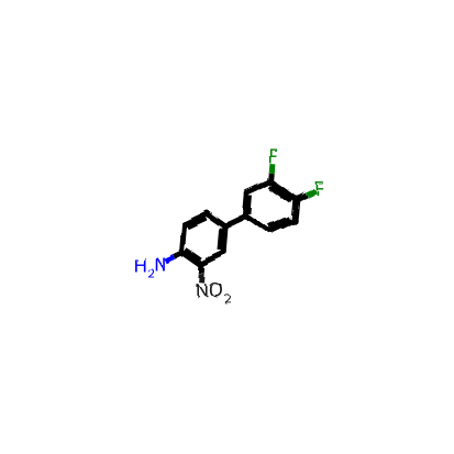 Nc1ccc(-c2ccc(F)c(F)c2)cc1[N+](=O)[O-]